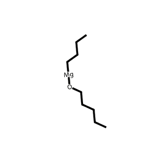 CCCCC[O][Mg][CH2]CCC